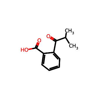 CC(C)C(=O)c1ccccc1C(=O)O